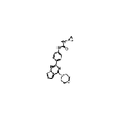 O=C(Nc1ccc(-c2nc(N3CCOCC3)c3cccn3n2)cc1)NC1CC1